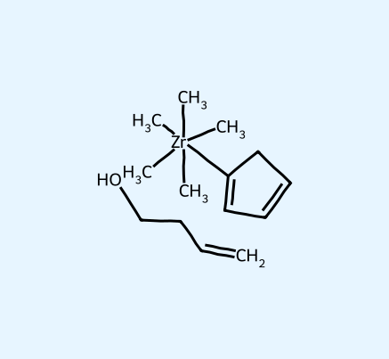 C=CCCO.[CH3][Zr]([CH3])([CH3])([CH3])([CH3])[C]1=CC=CC1